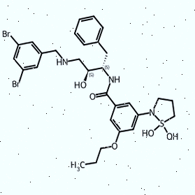 CCCOc1cc(C(=O)N[C@@H](Cc2ccccc2)[C@@H](O)CNCc2cc(Br)cc(Br)c2)cc(N2CCCS2(O)O)c1